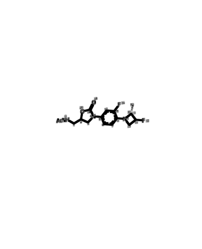 CC(=O)NCC1CN(c2ccc(N3CC(F)[C@H]3C)c(F)c2)C(=O)O1